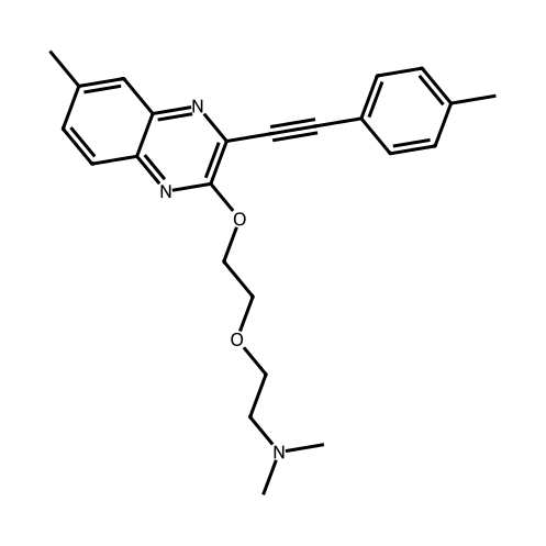 Cc1ccc(C#Cc2nc3cc(C)ccc3nc2OCCOCCN(C)C)cc1